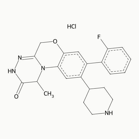 CC1C(=O)NN=C2COc3cc(-c4ccccc4F)c(C4CCNCC4)cc3N21.Cl